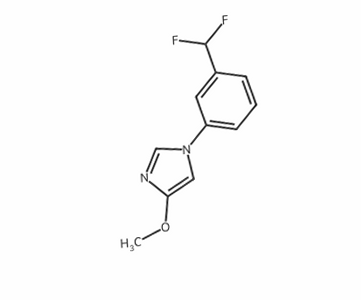 COc1cn(-c2cccc(C(F)F)c2)cn1